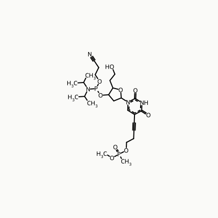 COP(C)(=O)OCCC#Cc1cn(C2CC(OP(OCCC#N)N(C(C)C)C(C)C)C(CCO)O2)c(=O)[nH]c1=O